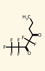 CCCC(=O)C(F)(F)C(=O)C(F)(F)C(F)(F)F